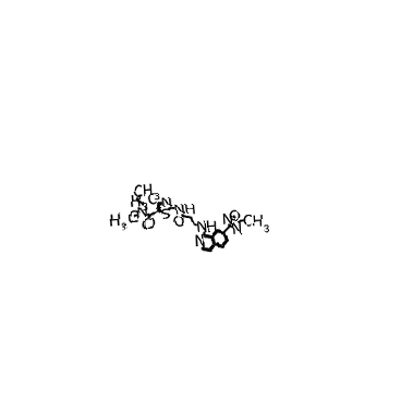 CCCN(C)C(=O)c1sc(NC(=O)CCNc2nccc3ccc(-c4noc(C)n4)cc23)nc1C